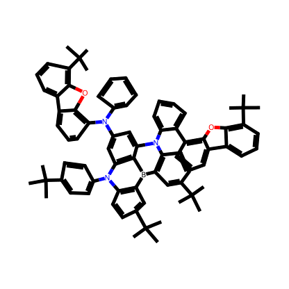 CC(C)(C)c1ccc(N2c3ccc(C(C)(C)C)cc3B3c4cc(C(C)(C)C)ccc4N(c4ccccc4-c4cccc5c4oc4c(C(C)(C)C)cccc45)c4cc(N(c5ccccc5)c5cccc6c5oc5c(C(C)(C)C)cccc56)cc2c43)cc1